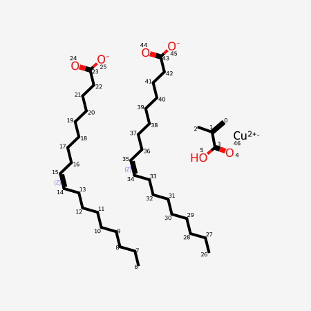 C=C(C)C(=O)O.CCCCCCCC/C=C\CCCCCCCC(=O)[O-].CCCCCCCC/C=C\CCCCCCCC(=O)[O-].[Cu+2]